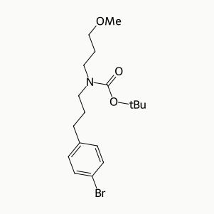 COCCCN(CCCc1ccc(Br)cc1)C(=O)OC(C)(C)C